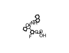 O=C(O)COc1cc(F)cc(C2C[C@H](CNCc3cccc4ccccc34)Oc3ccccc32)c1